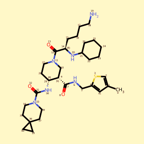 Cc1csc(CNC(=O)[C@H]2CN(C(=O)[C@@H](CCCCN)NC3CCCCC3)CC[C@H]2NC(=O)N2CCC3(CC2)CC3)c1